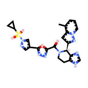 Cc1cccn2nc([C@H]3c4nc[nH]c4CCN3C(=O)c3nnc(-c4cnn(S(=O)(=O)C5CC5)c4)o3)cc12